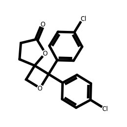 O=C1CCC2(COC2(c2ccc(Cl)cc2)c2ccc(Cl)cc2)O1